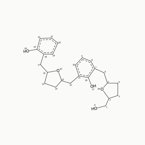 OCC1CCC(Cc2cccc(CC3CCC(Cc4ccccc4O)O3)c2O)O1